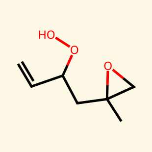 C=CC(CC1(C)CO1)OO